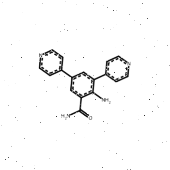 NC(=O)c1cc(-c2ccncc2)cc(-c2ccncc2)c1N